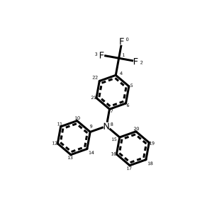 FC(F)(F)c1ccc(N(c2ccccc2)c2ccccc2)cc1